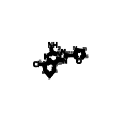 Nc1nc2c(Cl)cccc2c2nc(-c3ccco3)nn12